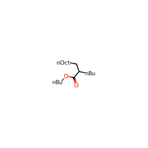 CCCCCCCCCC(CCCC)C(=O)OCCCC